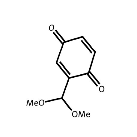 COC(OC)C1=CC(=O)C=CC1=O